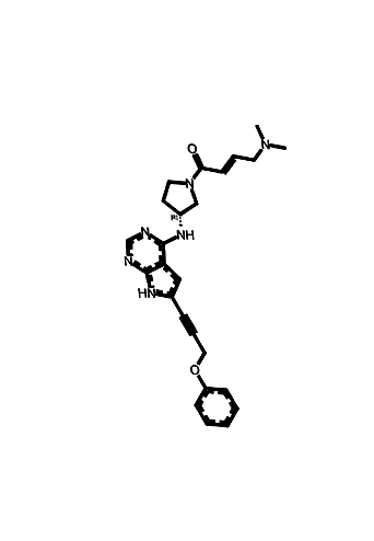 CN(C)CC=CC(=O)N1CC[C@@H](Nc2ncnc3[nH]c(C#CCOc4ccccc4)cc23)C1